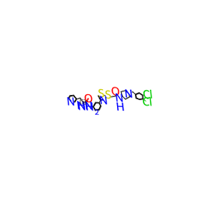 N[C@@H](Cc1cccnc1)C(=O)Nc1cccc(-c2csc(SCC(=O)NC3CCN(Cc4ccc(Cl)c(Cl)c4)CC3)n2)c1